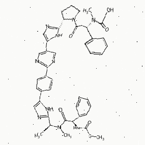 COC(=O)N[C@@H](C(=O)N(C)[C@@H](C)c1ncc(-c2ccc(-c3ncc(-c4cnc([C@@H]5CCCN5C(=O)[C@@H](c5ccccc5)N(C)C(=O)O)[nH]4)cn3)cc2)[nH]1)c1ccccc1